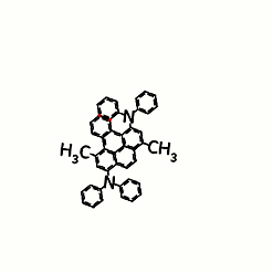 Cc1cc(N(c2ccccc2)c2ccccc2)c2c3ccccc3c3c(C)cc(N(c4ccccc4)c4ccccc4)c4ccc1c2c43